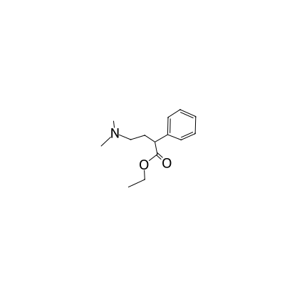 CCOC(=O)C(CCN(C)C)c1ccccc1